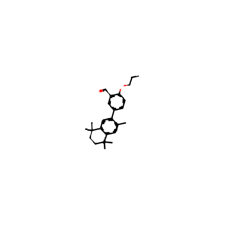 CCCOc1ccc(-c2cc3c(cc2C)C(C)(C)CCC3(C)C)cc1C=O